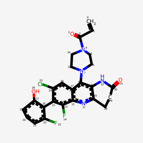 C=CC(=O)N1CCN(c2c3c(nc4c(F)c(-c5c(O)cccc5F)c(Cl)cc24)CCC(=O)N3)CC1